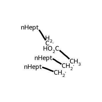 CC(=O)O.[CH2]CCCCCCC.[CH2]CCCCCCC.[CH2]CCCCCCC